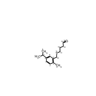 Cc1ccc(C(C)C)cc1CSCCCC=O